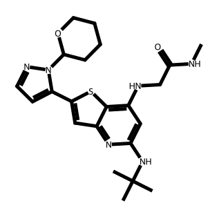 CNC(=O)CNc1cc(NC(C)(C)C)nc2cc(-c3ccnn3C3CCCCO3)sc12